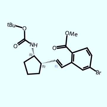 COC(=O)c1ccc(Br)cc1/C=C/[C@@H]1CCC[C@@H]1NC(=O)OC(C)(C)C